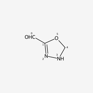 O=CC1=NNCO1